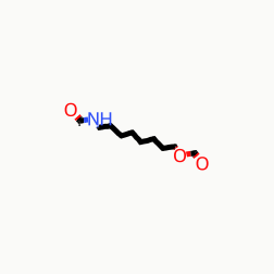 O=[C]NCCCCCCCCOC=O